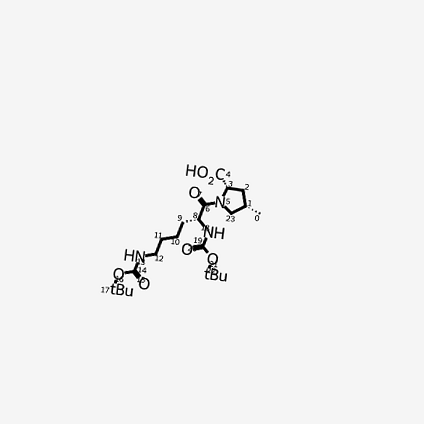 C[C@H]1C[C@@H](C(=O)O)N(C(=O)[C@@H](CCCCNC(=O)OC(C)(C)C)NC(=O)OC(C)(C)C)C1